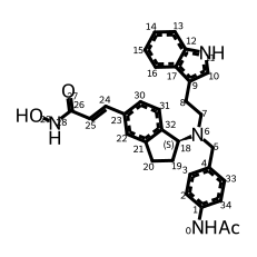 CC(=O)Nc1ccc(CN(CCc2c[nH]c3ccccc23)[C@H]2CCc3cc(C=CC(=O)NO)ccc32)cc1